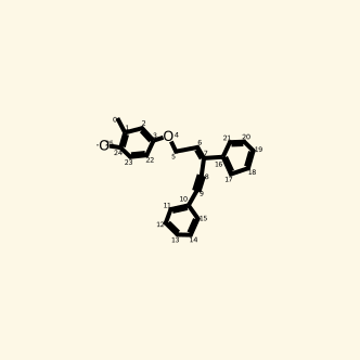 Cc1cc(OC/C=C(\C#Cc2ccccc2)c2ccccc2)ccc1[O]